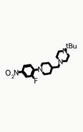 CC(C)(C)N1CCN(CC2CCN(c3ccc([N+](=O)[O-])cc3F)CC2)CC1